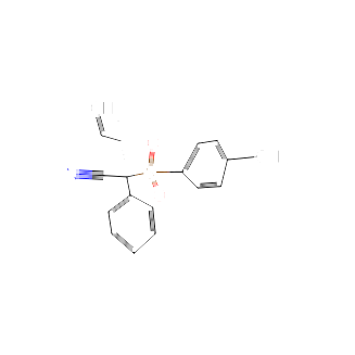 C=CC[C@@](C#N)(c1ccccc1)S(=O)(=O)c1ccc(C)cc1